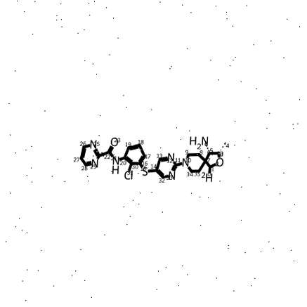 [2H]C1O[C@@H](C)[C@@H](N)C12CCN(c1ncc(Sc3cccc(NC(=O)c4ncccn4)c3Cl)cn1)CC2